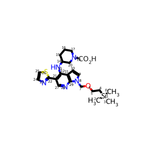 C[Si](C)(C)CCOCn1ccc2c(NC3CCCN(C(=O)O)C3)c(-c3nccs3)cnc21